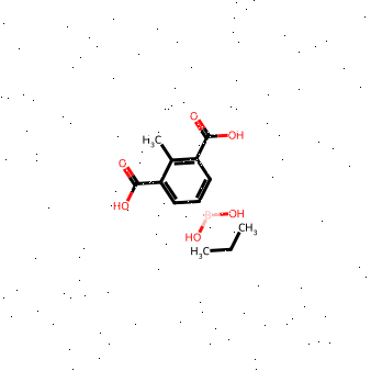 CCC.Cc1c(C(=O)O)cccc1C(=O)O.O[B]O